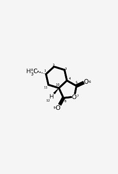 C[C@@H]1CCC2C(=O)OC(=O)[C@@H]2C1